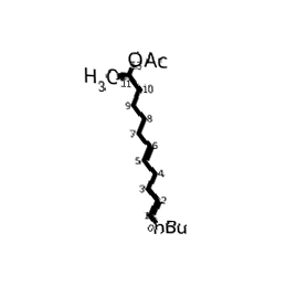 CCCCC=CCC/C=C/CCCCC(C)OC(C)=O